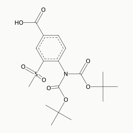 CC(C)(C)OC(=O)N(C(=O)OC(C)(C)C)c1ccc(C(=O)O)cc1S(C)(=O)=O